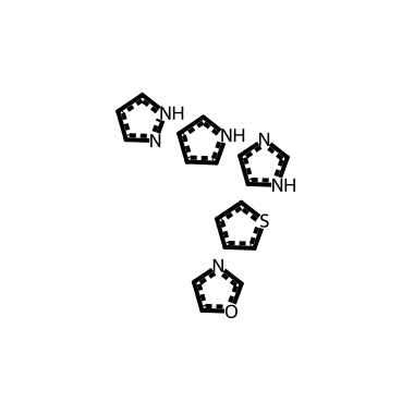 c1c[nH]cn1.c1cc[nH]c1.c1ccsc1.c1cn[nH]c1.c1cocn1